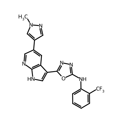 Cn1cc(-c2cnc3[nH]cc(-c4nnc(Nc5ccccc5C(F)(F)F)o4)c3c2)cn1